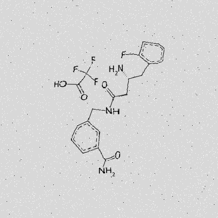 NC(=O)c1cccc(CNC(=O)C[C@H](N)Cc2ccccc2F)c1.O=C(O)C(F)(F)F